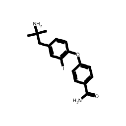 CC(C)(N)Cc1ccc(Oc2ccc(C(N)=O)cc2)c(I)c1